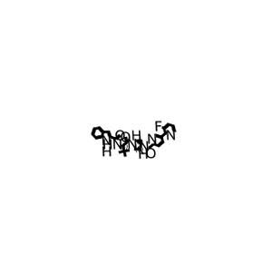 CC(C)(C)[C@H](NC(=O)c1cc2ccccc2[nH]1)C(=O)N1C[C@@H]2C[C@H]1CN2C(=O)c1ccc(-c2ncccc2F)cn1